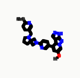 CCOc1cc(-c2ccc(N3CC4(CCCN4CC4=CN=C(OC)CC4)C3)nc2)c2c3cn[nH]c3nn2c1